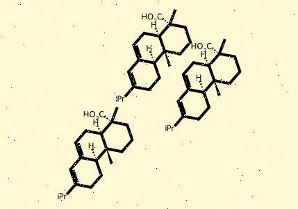 CC(C)C1=CC2=CC[C@@H]3[C@](C)(CCC[C@@]3(C)C(=O)O)[C@H]2CC1.CC(C)C1=CC2=CC[C@@H]3[C@](C)(CCC[C@@]3(C)C(=O)O)[C@H]2CC1.CC(C)C1=CC2=CC[C@@H]3[C@](C)(CCC[C@@]3(C)C(=O)O)[C@H]2CC1